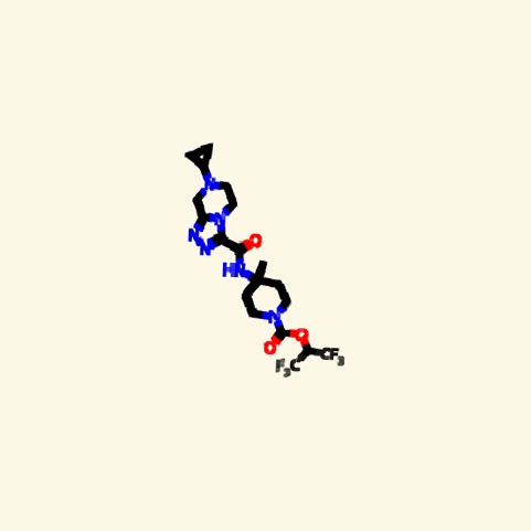 CC1(NC(=O)c2nnc3n2CCN(C2CC2)C3)CCN(C(=O)OC(C(F)(F)F)C(F)(F)F)CC1